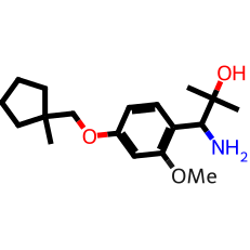 COc1cc(OCC2(C)CCCC2)ccc1C(N)C(C)(C)O